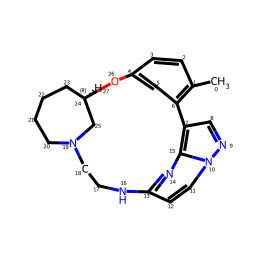 Cc1ccc2cc1-c1cnn3ccc(nc13)NCCN1CCCC[C@H](C1)O2